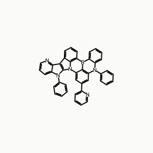 c1ccc(N2c3ccccc3B3c4c2cc(-c2ccccn2)cc4-n2c4c3cccc4c3c4ncccc4n(-c4ccccc4)c32)cc1